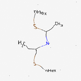 CCCCCCSC(C)[N]C(C)SCCCCCC